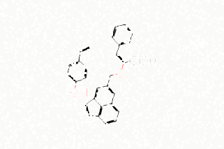 C=Cc1ccc(O)cc1.CC(C)COC(=Cc1ccccc1)OCc1cc2c3c(cccc3c1)C=C2